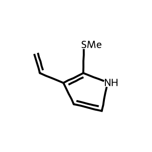 C=Cc1cc[nH]c1SC